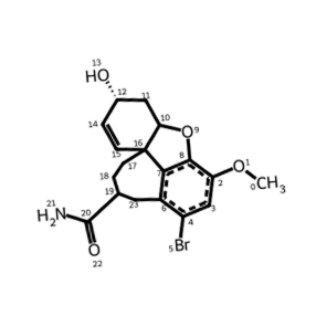 COc1cc(Br)c2c3c1OC1C[C@@H](O)C=CC31CCC(C(N)=O)C2